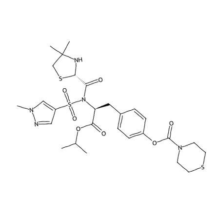 CC(C)OC(=O)[C@H](Cc1ccc(OC(=O)N2CCSCC2)cc1)N(C(=O)[C@H]1NC(C)(C)CS1)S(=O)(=O)c1cnn(C)c1